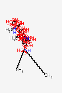 CCCCCCCCCCCCC/C=C/[C@@H](O)[C@H](CO[C@@H]1OC(CO)[C@@H](O[C@@H]2OC(CO)[C@H](O)[C@H](O[C@@H]3OC(CO)[C@@H](O[C@@H]4OC(CO)[C@H](O)[C@H](O[C@H]5OC(CO)[C@H](O)[C@H](O[C@@H]6OC(CO)[C@H](O)[C@H](O)C6O)C5NC(C)=O)C4O[C@H]4OC(C)[C@@H](O)C(O)[C@@H]4O)[C@H](O)C3NC(C)=O)C2O)[C@H](O)C1O)NC(=O)CCCCCCCCCCCCCCCCCCCCCCC